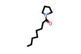 CCCCCCCC(=O)N1CCCC1